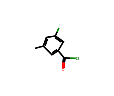 Cc1cc(F)cc(C(=O)Cl)c1